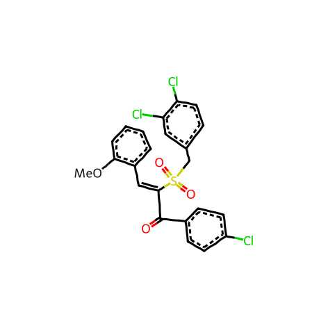 COc1ccccc1/C=C(/C(=O)c1ccc(Cl)cc1)S(=O)(=O)Cc1ccc(Cl)c(Cl)c1